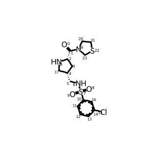 O=C([C@@H]1C[C@H](CNS(=O)(=O)c2cccc(Cl)c2)CN1)N1CCSC1